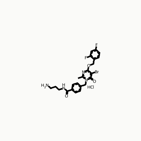 Cc1nc(OCc2ccc(F)cc2F)c(Br)c(=O)n1Cc1ccc(C(=O)NCCCN)cc1.Cl